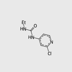 CCNC(=O)Nc1ccnc(Cl)c1